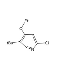 CCOc1cc(Cl)ncc1C(C)(C)C